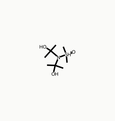 CC(C)(O)N(C(C)(C)O)[SH](C)(C)=O